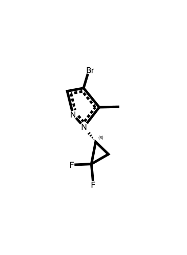 Cc1c(Br)cnn1[C@@H]1CC1(F)F